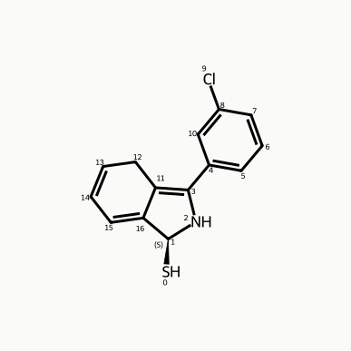 S[C@@H]1NC(c2cccc(Cl)c2)=C2CC=CC=C21